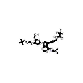 CN(C)/C=N/c1ncnc2c1c(C#CCNC(=O)C(F)(F)F)cn2[C@H]1CC(OCSSC(C)(C)C)[C@@H](CO)O1